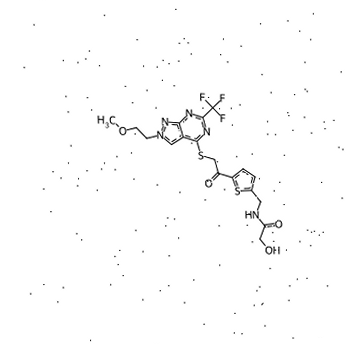 COCCn1cc2c(SCC(=O)c3ccc(CNC(=O)CO)s3)nc(C(F)(F)F)nc2n1